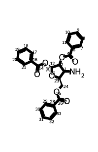 NC1C(OC(=O)c2ccccc2)[C@@H](OC(=O)c2ccccc2)O[C@@H]1COC(=O)c1ccccc1